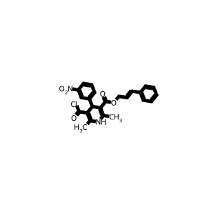 CC1=C(C(=O)Cl)C(c2cccc([N+](=O)[O-])c2)C(C(=O)OC/C=C/c2ccccc2)=C(C)N1